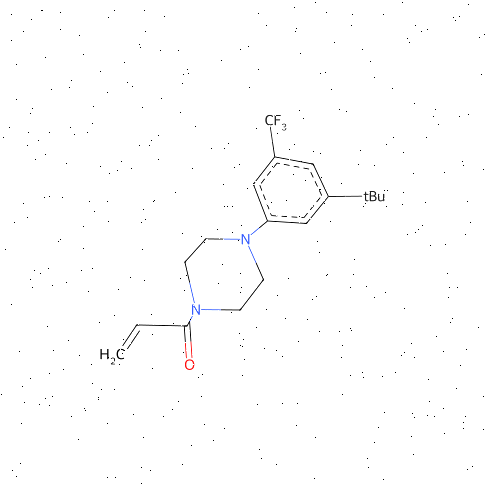 C=CC(=O)N1CCN(c2cc(C(C)(C)C)cc(C(F)(F)F)c2)CC1